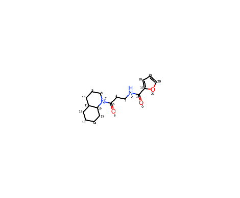 O=C(NCCC(=O)N1CCCC2CCCCC21)c1ccco1